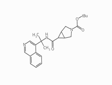 CC(C)(C)OC(=O)N1CC2C(C1)C2C(=O)NC(C)(C)c1cncc2ccccc12